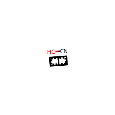 N#CO.c1cc2ccc1-2